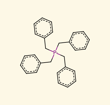 c1ccc(C[P](Cc2ccccc2)(Cc2ccccc2)Cc2ccccc2)cc1